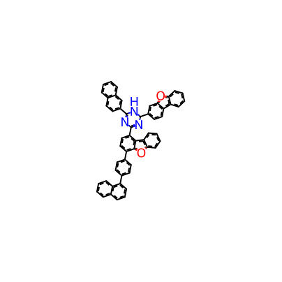 c1ccc2cc(C3=NC(c4ccc(-c5ccc(-c6cccc7ccccc67)cc5)c5oc6ccccc6c45)=NC(c4ccc5c(c4)oc4ccccc45)N3)ccc2c1